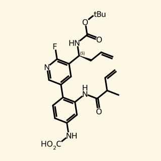 C=CC[C@H](NC(=O)OC(C)(C)C)c1cc(-c2ccc(NC(=O)O)cc2NC(=O)C(C)C=C)cnc1F